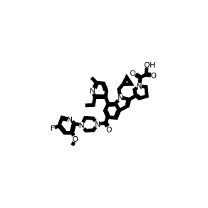 CCc1nc(C)ccc1-c1cc(C(=O)N2CCN(c3ncc(F)cc3OC)CC2)cc2cc(C3=CCCN(C(=O)C(=O)O)C3)n(CC3CC3)c12